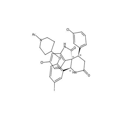 CC(=O)N1CCC(Oc2ccc(I)cc2[C@@H]2NC(=O)C[C@H](c3cccc(Cl)c3)[C@@]23C(=O)Nc2cc(Cl)ccc23)CC1